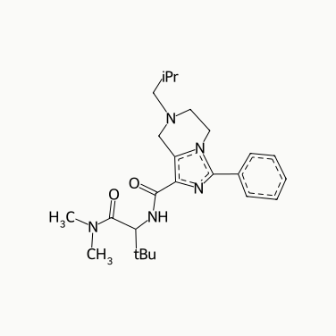 CC(C)CN1CCn2c(-c3ccccc3)nc(C(=O)NC(C(=O)N(C)C)C(C)(C)C)c2C1